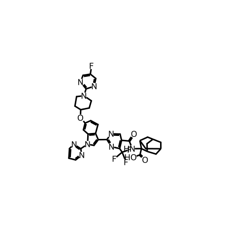 O=C(NC1(C(=O)O)C2CC3CC(C2)CC1C3)c1cnc(-c2cn(-c3ncccn3)c3cc(OC4CCN(c5ncc(F)cn5)CC4)ccc23)nc1C(F)(F)F